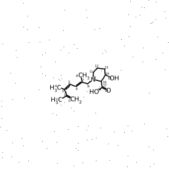 C=C(C)/C(C)=C\C=C(/C)CN1CCCC(O)C1C(=O)O